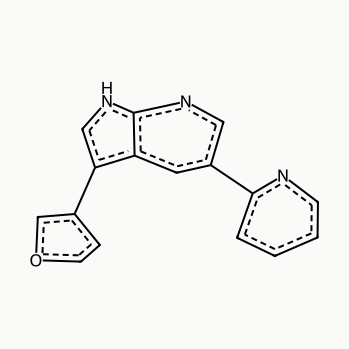 c1ccc(-c2cnc3[nH]cc(-c4ccoc4)c3c2)nc1